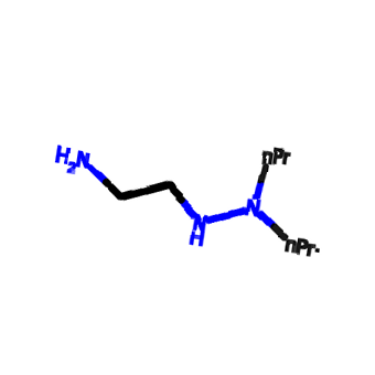 CC[CH]N(CCC)NCCN